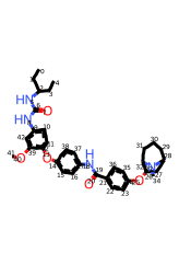 CCC(CC)NC(=O)Nc1ccc(Oc2ccc(NC(=O)c3ccc(OC4CC5CCCC4N5C)cc3)cc2)c(OC)c1